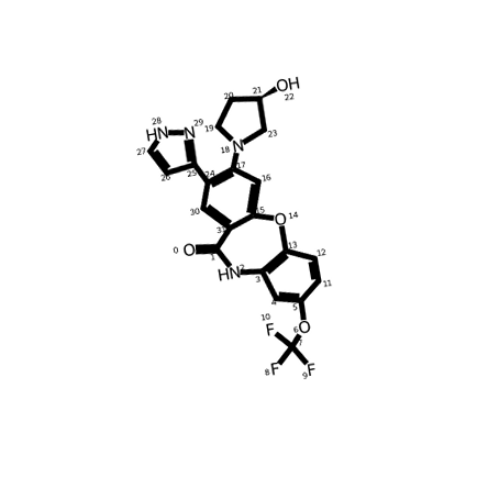 O=C1Nc2cc(OC(F)(F)F)ccc2Oc2cc(N3CC[C@@H](O)C3)c(-c3cc[nH]n3)cc21